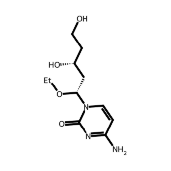 CCO[C@H](C[C@H](O)CCO)n1ccc(N)nc1=O